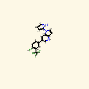 Fc1ccc(-c2cnc3ccn(-c4ccc[nH]4)c3c2)cc1C(F)(F)F